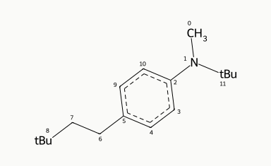 CN(c1ccc(CCC(C)(C)C)cc1)C(C)(C)C